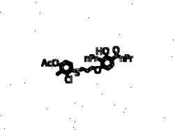 CCCC(=O)c1ccc(OCCCSc2ccc(OC(C)=O)c(C)c2Cl)c(CCC)c1O